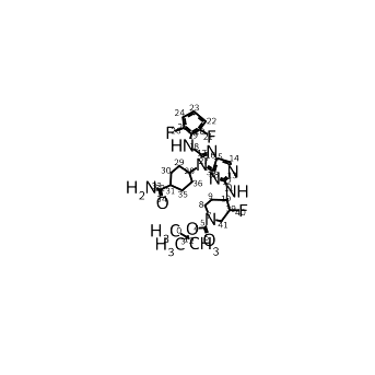 CC(C)(C)OC(=O)N1CCC(Nc2ncc3nc(Nc4c(F)cccc4F)n(C4CCC(C(N)=O)CC4)c3n2)C(F)C1